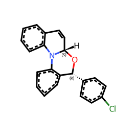 Clc1ccc([C@H]2O[C@H]3C=Cc4ccccc4N3c3ccccc32)cc1